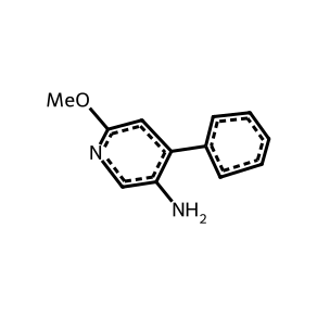 COc1cc(-c2ccccc2)c(N)cn1